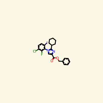 O=C(OCc1ccccc1)c1cn(-c2c(I)ccc(Cl)c2F)c(C2CCCCC2)n1